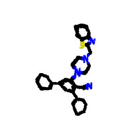 N#Cc1c(C2CCCCC2)cc(C2CCCCC2)cc1N1CCN(Cc2nc3ccccc3s2)CC1